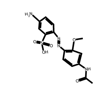 COc1cc(NC(C)=O)ccc1N=Nc1ccc(N)cc1S(=O)(=O)O